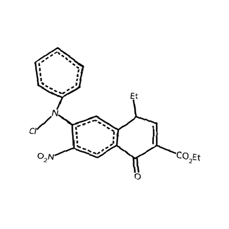 CCOC(=O)C1=CC(CC)c2cc(N(Cl)c3ccccc3)c([N+](=O)[O-])cc2C1=O